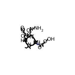 CCC1=C(C)c2cc3[nH]c(cc4nc(c5c6[nH]c(cc1n2)c(C)c6C(=O)N(CCN1CCOCC1)C5=O)[C@@H](CCC(=O)N(C)CCN)[C@@H]4C)c(C)c3/C=C/C(=O)N(C)CCOCCO